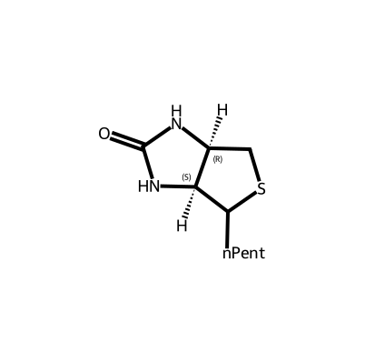 CCCCCC1SC[C@@H]2NC(=O)N[C@H]12